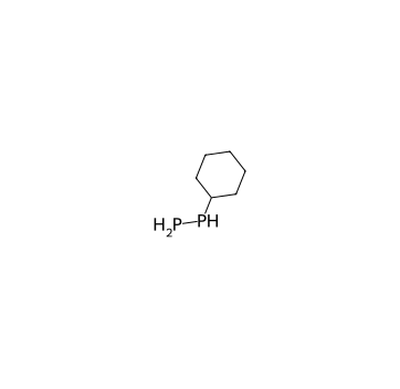 PPC1CCCCC1